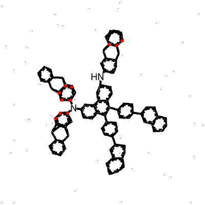 C1=CC2C3c4ccccc4C(c4cc(Nc5ccc6c(-c7ccc(-c8ccc9ccccc9c8)cc7)c(-c7ccc(-c8ccc9ccccc9c8)cc7)c7ccc(N(c8ccc9c(c8)C8c%10ccccc%10C9c9ccccc98)c8ccc9c(c8)C8c%10ccccc%10C9c9ccccc98)cc7c6c5)ccc43)C2C=C1